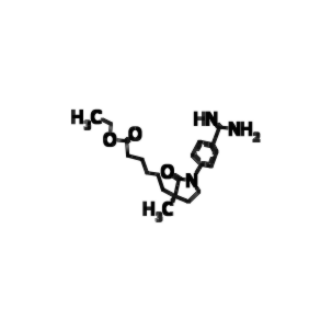 CCOC(=O)CCCCC[C@@]1(C)CCN(c2ccc(C(=N)N)cc2)C1=O